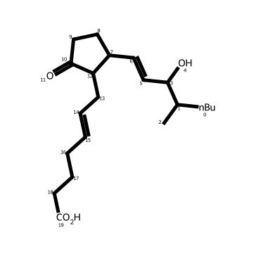 CCCCC(C)C(O)C=CC1CCC(=O)C1CC=CCCCC(=O)O